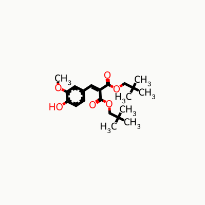 COc1cc(C=C(C(=O)OCC(C)(C)C)C(=O)OCC(C)(C)C)ccc1O